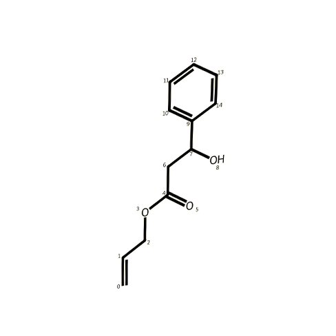 C=CCOC(=O)CC(O)c1ccccc1